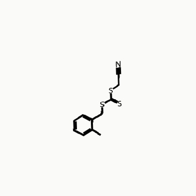 Cc1ccccc1CSC(=S)SCC#N